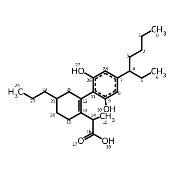 CCCCC(CC)c1cc(O)c(C2=C(C(C)C(=O)O)CCC(CCC)C2)c(O)c1